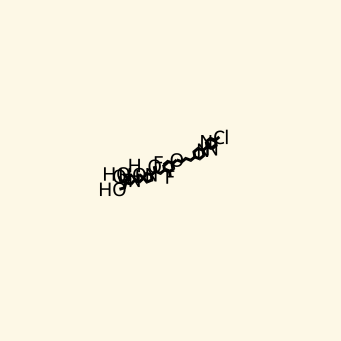 O=C(Cc1c(F)cc(OCCCC2CCN(c3ncc(Cl)cn3)CC2)cc1F)N1CCC(O)(CNCC(CO)(CO)CO)C1